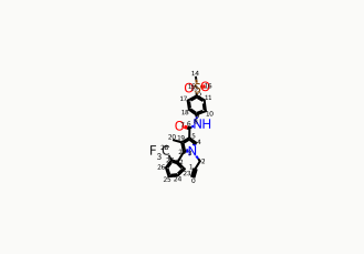 C#CCn1cc(C(=O)Nc2ccc(S(C)(=O)=O)cc2)c(C)c1-c1ccccc1C(F)(F)F